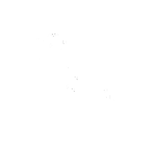 CCc1cc(SCc2nc(-c3ccc(OC(F)(F)F)cc3)ns2)ccc1OC1(C(=O)OC)CCCC1